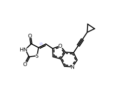 O=C1NC(=O)/C(=C/c2cc3cncc(C#CC4CC4)c3o2)S1